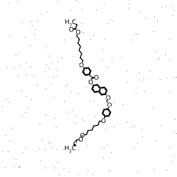 C=C=COOCCCCCCOc1ccc(OCOc2ccc3cc(OC(=O)c4ccc(OCCCCCCCCOC(=O)C=C)cc4)ccc3c2)cc1